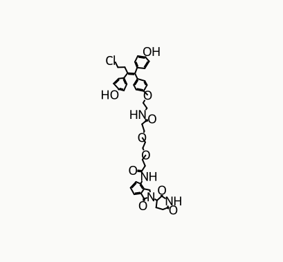 O=C(CCOCCOCCC(=O)Nc1cccc2c1CN(C1CCC(=O)NC1=O)C2=O)NCCOc1ccc(C(=C(CCCl)c2ccc(O)cc2)c2ccc(O)cc2)cc1